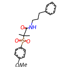 COc1ccc(S(=O)(=O)C(C)(C)C(=O)NCCCc2ccccc2)cc1